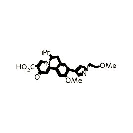 COCCn1cc(-c2cc3c(cc2OC)-c2cc(=O)c(C(=O)O)cn2C(C(C)C)C3)cn1